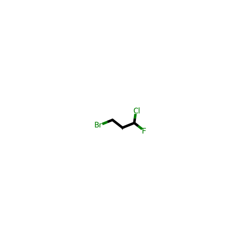 FC(Cl)[CH]CBr